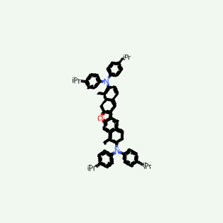 CC1=C(N(c2ccc(C(C)C)cc2)c2ccc(C(C)C)cc2)C=CC2=Cc3c(oc4cc5c(cc34)=CCC(N(c3ccc(C(C)C)cc3)c3ccc(C(C)C)cc3)C=5C)CC21